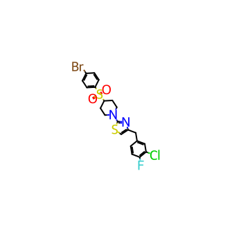 O=S(=O)(c1ccc(Br)cc1)C1CCN(c2nc(Cc3ccc(F)c(Cl)c3)cs2)CC1